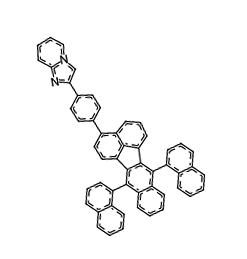 c1ccc2c(-c3c4c(c(-c5cccc6ccccc56)c5ccccc35)-c3ccc(-c5ccc(-c6cn7ccccc7n6)cc5)c5cccc-4c35)cccc2c1